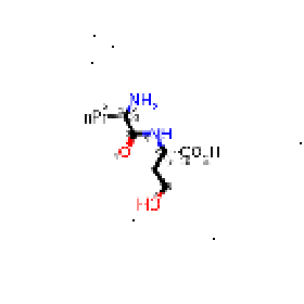 CCC[C@@H](N)C(=O)N[C@@H](CCO)C(=O)O